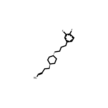 N#C/C=C/CC[C@H]1CC[C@H](CCCCc2ccc(F)c(F)c2)CC1